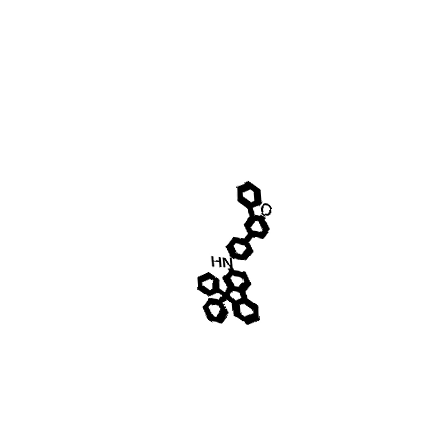 c1ccc(C2(c3ccccc3)c3ccccc3-c3ccc(Nc4ccc(-c5ccc6oc7ccccc7c6c5)cc4)cc32)cc1